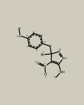 CNC1=C([N+](=O)[O-])C(Br)(Cc2ccc(OC)cc2)N=N1